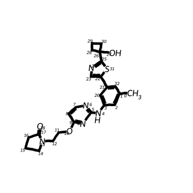 Cc1cc(Nc2nccc(OCCN3CCCC3=O)n2)cc(-c2cnc(C3(O)CCC3)s2)c1